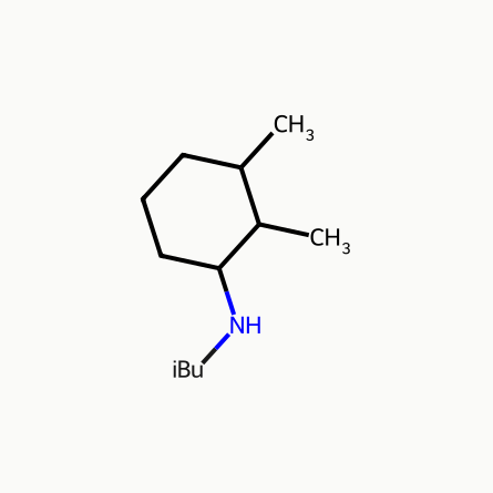 CCC(C)NC1CCCC(C)C1C